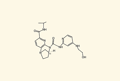 CC(C)NC(=O)c1ccc2c(n1)N(C(=O)Nc1cc(NCCO)ccn1)[C@H]1CCN2C1